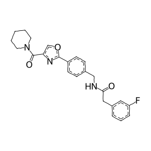 O=C(Cc1cccc(F)c1)NCc1ccc(-c2nc(C(=O)N3CCCCC3)co2)cc1